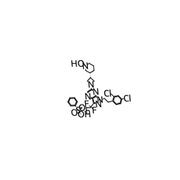 O=S(=O)(O)c1ccccc1.ON1CCC[C@H](C2CN(c3cnc4c(C(F)(F)F)nn(CCc5ccc(Cl)cc5Cl)c4n3)C2)C1